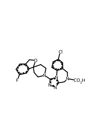 O=C(O)N1Cc2cc(Cl)ccc2-n2c(nnc2N2CCC3(CC2)OCc2ccc(F)cc23)C1